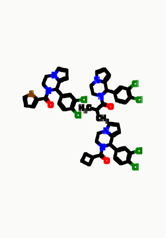 CC(C)C(=O)N1CCn2cccc2C1c1ccc(Cl)c(Cl)c1.O=C(C1CCC1)N1CCn2cccc2C1c1ccc(Cl)c(Cl)c1.O=C(c1cccs1)N1CCn2cccc2C1c1ccc(Cl)c(Cl)c1